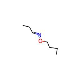 CCC=NOCCCC